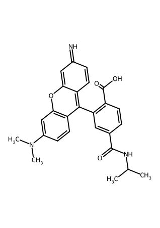 CC(C)NC(=O)c1ccc(C(=O)O)c(-c2c3ccc(=N)cc-3oc3cc(N(C)C)ccc23)c1